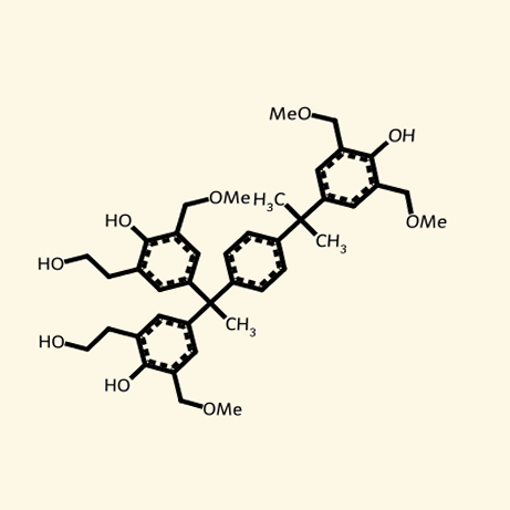 COCc1cc(C(C)(c2ccc(C(C)(C)c3cc(COC)c(O)c(COC)c3)cc2)c2cc(CCO)c(O)c(COC)c2)cc(CCO)c1O